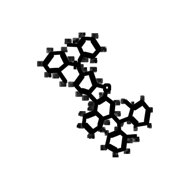 Cc1ccccc1C(c1ccccc1C)c1cc2oc3cc(N(c4ccccc4C)c4ccccc4C)ccc3c2c2ccccc12